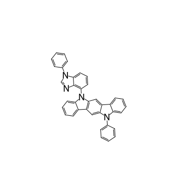 c1ccc(-n2cnc3c(-n4c5ccccc5c5cc6c(cc54)c4ccccc4n6-c4ccccc4)cccc32)cc1